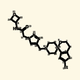 CCc1cc2c(s1)CCO[N+]21CCN(Cc2cn(CC(=O)NC3COC3)nn2)CC1